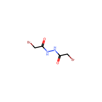 O=C(CBr)NNC(=O)CBr